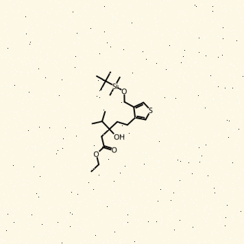 CCOC(=O)CC(O)(CCc1cscc1CO[Si](C)(C)C(C)(C)C)C(C)C